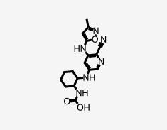 Cc1cc(Nc2cc(NC3CCCCC3NC(=O)O)cnc2C#N)on1